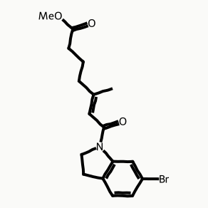 COC(=O)CCC/C(C)=C/C(=O)N1CCc2ccc(Br)cc21